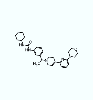 CC(c1cccc(NC(=O)NC2CCCCC2)c1)N1CC=C(c2cccc(N3CCOCC3)n2)CC1